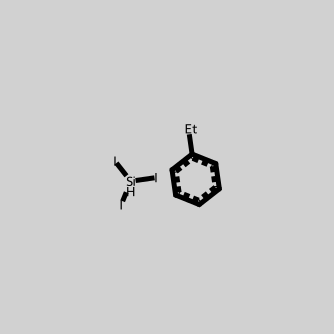 CCc1ccccc1.I[SiH](I)I